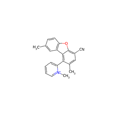 Cc1ccc2oc3c(C#N)cc(C)c(-c4cccc[n+]4C)c3c2c1